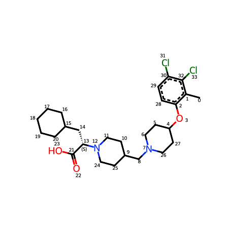 Cc1c(OC2CCN(CC3CCN([C@@H](CC4CCCCC4)C(=O)O)CC3)CC2)ccc(Cl)c1Cl